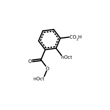 CCCCCCCCOC(=O)c1cccc(C(=O)O)c1CCCCCCCC